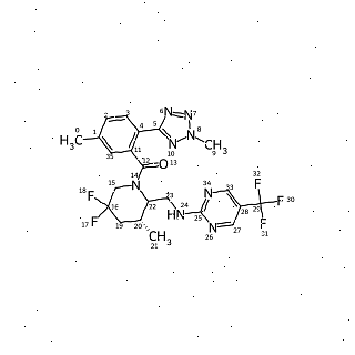 Cc1ccc(-c2nnn(C)n2)c(C(=O)N2CC(F)(F)C[C@@H](C)C2CNc2ncc(C(F)(F)F)cn2)c1